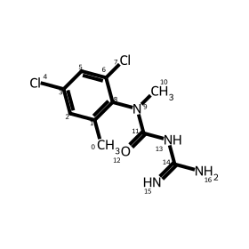 Cc1cc(Cl)cc(Cl)c1N(C)C(=O)NC(=N)N